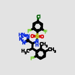 Cc1ccc(F)c(C(C)C(NS(=O)(=O)c2c(F)cc(Cl)cc2F)c2nn[nH]n2)c1C